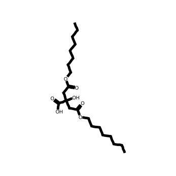 CCCCCCCCOC(=O)CC(O)(CC(=O)OCCCCCCCC)C(=O)O